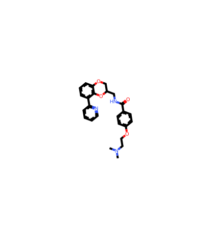 CN(C)CCOc1ccc(C(=O)NCC2COc3cccc(-c4ccccn4)c3O2)cc1